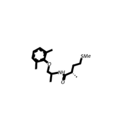 CSCC[C@H](C)C(=O)NC(C)COc1c(C)cccc1C